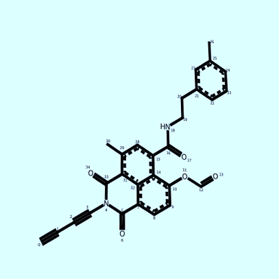 C#CC#CN1C(=O)c2ccc(OC=O)c3c(C(=O)NCCc4cccc(C)c4)cc(C)c(c23)C1=O